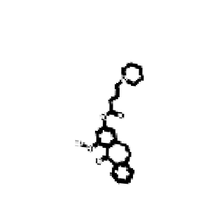 CCOc1cc(OC(=O)CCCN2CCCCC2)cc2c1C(=O)c1ccccc1CC2